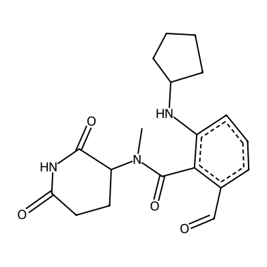 CN(C(=O)c1c(C=O)cccc1NC1CCCC1)C1CCC(=O)NC1=O